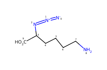 [N-]=[N+]=NC(CCCCN)C(=O)O